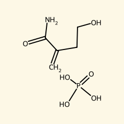 C=C(CCO)C(N)=O.O=P(O)(O)O